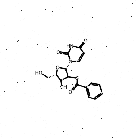 O=C(SC1C(O)[C@H](CO)O[C@@H]1n1ccc(=O)[nH]c1=O)c1ccccc1